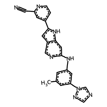 Cc1cc(Nc2cc3[nH]c(-c4ccnc(C#N)c4)cc3cn2)cc(-n2cncn2)c1